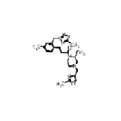 Cc1nnn(Cc2cc(C(F)(F)F)ccc2C=CC(=O)N2CCN(Cc3coc(C)n3)CC2C)n1